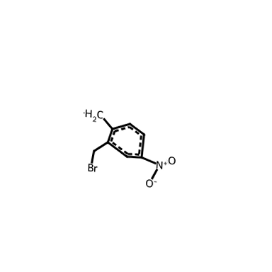 [CH2]c1ccc([N+](=O)[O-])cc1CBr